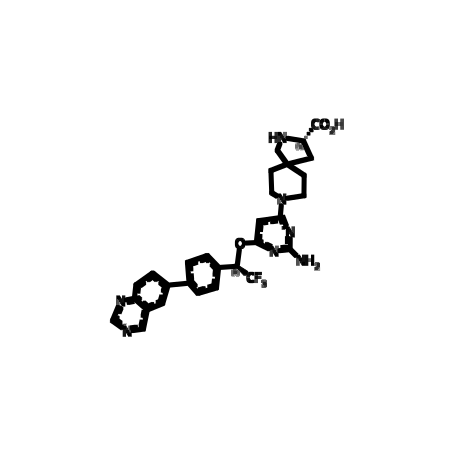 Nc1nc(O[C@H](c2ccc(-c3ccc4ncncc4c3)cc2)C(F)(F)F)cc(N2CCC3(CC2)CN[C@H](C(=O)O)C3)n1